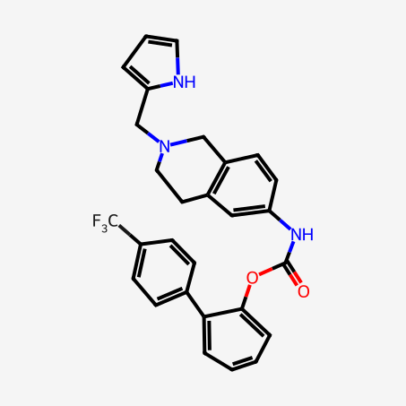 O=C(Nc1ccc2c(c1)CCN(Cc1ccc[nH]1)C2)Oc1ccccc1-c1ccc(C(F)(F)F)cc1